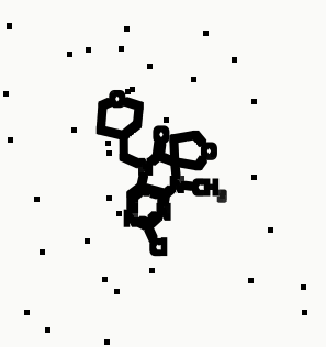 CN1c2nc(Cl)ncc2N(CC2CCOCC2)C(=O)C12CCOC2